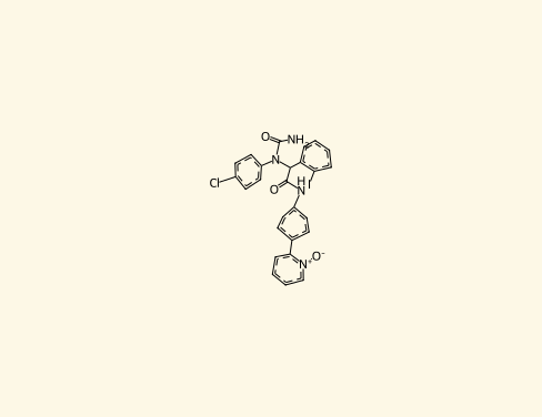 NC(=O)N(c1ccc(Cl)cc1)C(C(=O)Nc1ccc(-c2cccc[n+]2[O-])cc1)c1ccccc1I